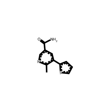 Cc1ncc(C(N)=O)cc1-c1cccs1